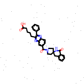 O=C(O)CCCCc1nc2cc(C(=O)N3CCC4(CC3)Cc3ccccc3C(=O)N4)ccc2nc1-c1ccccc1